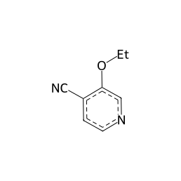 CCOc1cnccc1C#N